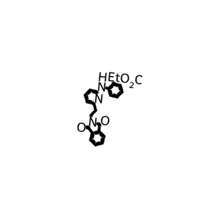 CCOC(=O)c1ccccc1Nc1cccc(CCN2C(=O)c3ccccc3C2=O)n1